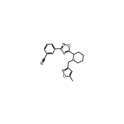 Cc1cc(CN2CCCCC2c2nc(-c3cccc(C#N)c3)no2)no1